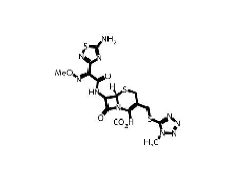 CON=C(C(=O)NC1C(=O)N2C(C(=O)O)=C(CSc3nnnn3C)CS[C@@H]12)c1nsc(N)n1